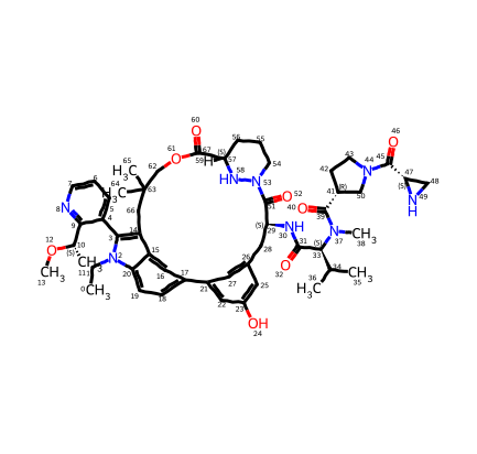 CCn1c(-c2cccnc2[C@H](C)OC)c2c3cc(ccc31)-c1cc(O)cc(c1)C[C@H](NC(=O)[C@H](C(C)C)N(C)C(=O)[C@@H]1CCN(C(=O)[C@@H]3CN3)C1)C(=O)N1CCC[C@H](N1)C(=O)OCC(C)(C)C2